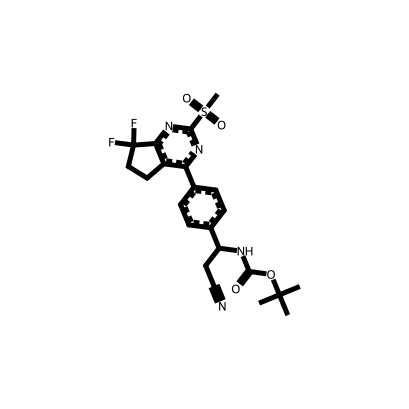 CC(C)(C)OC(=O)NC(CC#N)c1ccc(-c2nc(S(C)(=O)=O)nc3c2CCC3(F)F)cc1